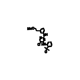 COCCc1cccc(Nc2ncc(Cl)c(Nc3ccccc3P(C)(C)=O)n2)c1